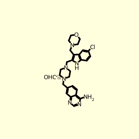 Nc1ncnc2cc(CN3CCN(Cc4[nH]c5ccc(Cl)cc5c4CN4CCOCC4)C[C@H]3C=O)ccc12